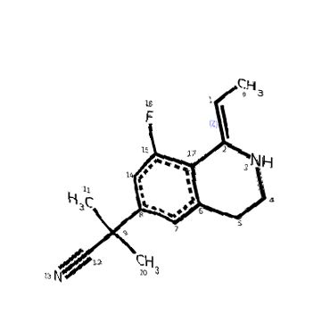 C/C=C1\NCCc2cc(C(C)(C)C#N)cc(F)c21